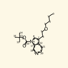 CCCCOCCc1cn(C(=O)OC(C)(C)C)c2cnccc12